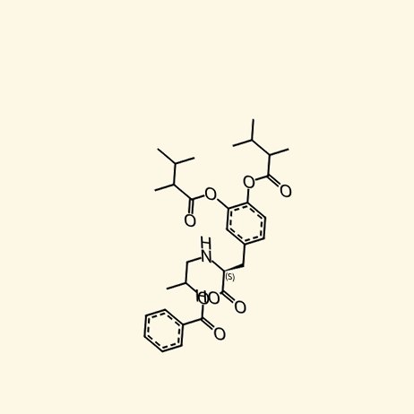 CC(CN[C@@H](Cc1ccc(OC(=O)C(C)C(C)C)c(OC(=O)C(C)C(C)C)c1)C(=O)O)OC(=O)c1ccccc1